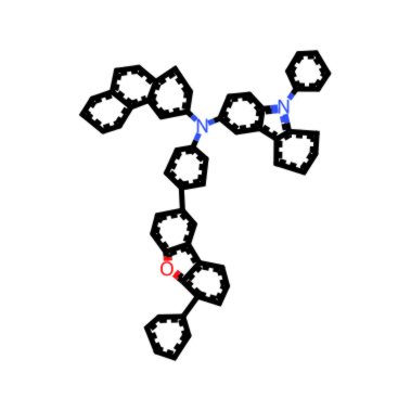 c1ccc(-c2cccc3c2oc2ccc(-c4ccc(N(c5ccc6ccc7ccccc7c6c5)c5ccc6c(c5)c5ccccc5n6-c5ccccc5)cc4)cc23)cc1